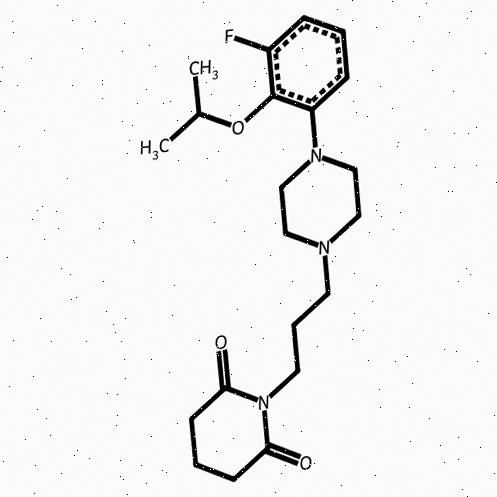 CC(C)Oc1c(F)cccc1N1CCN(CCCN2C(=O)CCCC2=O)CC1